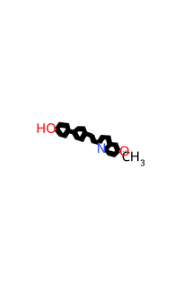 COc1ccc2nc(/C=C/c3ccc(-c4ccc(O)cc4)cc3)ccc2c1